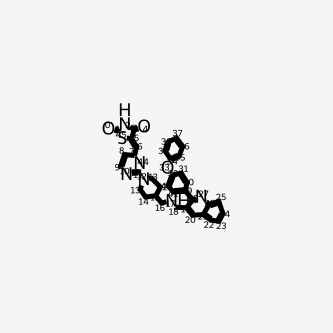 O=C1NC(=O)/C(=C/c2ccnc(N3CCC(CNCc4cc5ccccc5nc4-c4ccc(Oc5ccccc5)cc4)CC3)n2)S1